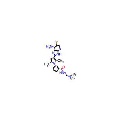 CCCN(CCC)CCNC(=O)c1cccc(-n2c(C)cc(-c3nc4c(N)c(Br)cnc4[nH]3)c2C)c1